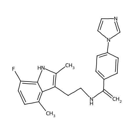 C=C(NCCc1c(C)[nH]c2c(F)ccc(C)c12)c1ccc(-n2ccnc2)cc1